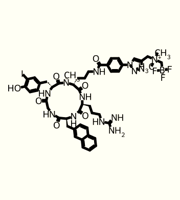 CN1C(=O)[C@@H](Cc2ccc(O)c(I)c2)NC(=O)CNC(=O)[C@H](Cc2ccc3ccccc3c2)NC(=O)[C@H](CCCNC(=N)N)NC(=O)[C@H]1CCCNC(=O)c1ccc(-n2cc(C[N+](C)(C)C[B-](F)(F)F)nn2)cc1